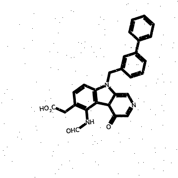 O=CNc1c(CC(=O)O)ccc2c1C1C(=O)C=NC=C1N2Cc1cccc(-c2ccccc2)c1